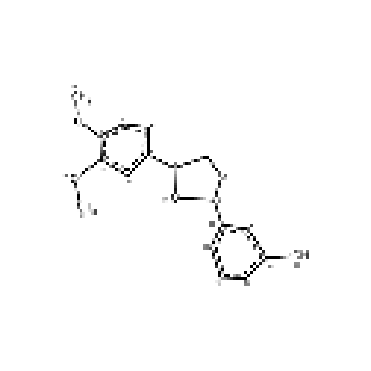 COc1ccc(C2CCC(c3cccc(O)c3)O2)cc1OC